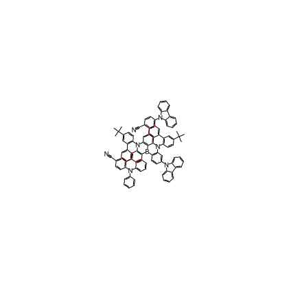 CC(C)(C)c1ccc(N2c3cc(-c4cc(C#N)ccc4N(c4ccccc4)c4ccccc4)ccc3B3c4ccc(-n5c6ccccc6c6ccccc65)cc4N(c4ccc(C(C)(C)C)cc4-c4ccccc4)c4cc(-c5cc(-n6c7ccccc7c7ccccc76)ccc5C#N)cc2c43)c(-c2ccccc2)c1